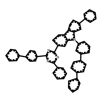 c1ccc(-c2ccc(-c3cccc(-n4c5cc(-c6ccccc6)ccc5c5ccc(-c6nc(-c7ccccc7)nc(-c7ccc(-c8ccccc8)cc7)n6)cc54)c3)cc2)cc1